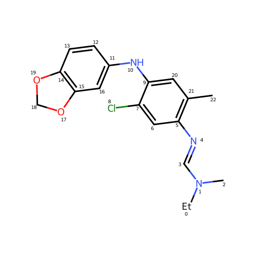 CCN(C)C=Nc1cc(Cl)c(Nc2ccc3c(c2)OCO3)cc1C